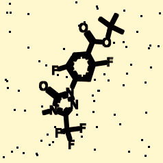 Cn1c(C(F)(F)F)nn(-c2cc(F)c(C(=O)OC(C)(C)C)cc2F)c1=O